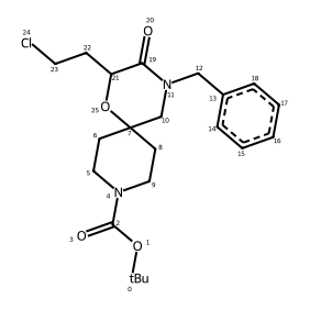 CC(C)(C)OC(=O)N1CCC2(CC1)CN(Cc1ccccc1)C(=O)C(CCCl)O2